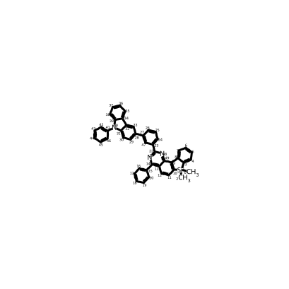 C[Si]1(C)c2ccccc2-c2c1ccc1c(-c3ccccc3)nc(-c3cccc(-c4ccc5c(c4)c4ccccc4n5-c4ccccc4)c3)nc21